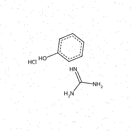 Cl.N=C(N)N.Oc1ccccc1